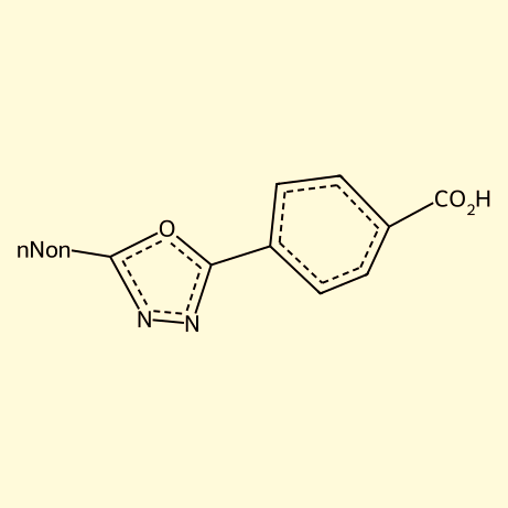 CCCCCCCCCc1nnc(-c2ccc(C(=O)O)cc2)o1